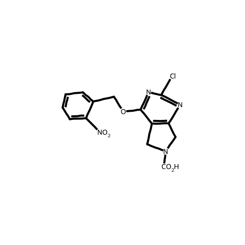 O=C(O)N1Cc2nc(Cl)nc(OCc3ccccc3[N+](=O)[O-])c2C1